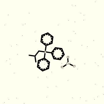 CC(C)C[P+](c1ccccc1)(c1ccccc1)c1ccccc1.[Cl][Cu-]([Cl])[Cl]